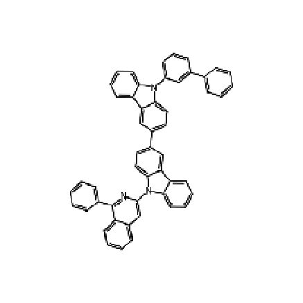 c1ccc(-c2cccc(-n3c4ccccc4c4cc(-c5ccc6c(c5)c5ccccc5n6-c5cc6ccccc6c(-c6ccccc6)n5)ccc43)c2)cc1